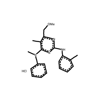 COCc1nc(Nc2ccccc2C)nc(N(C)c2ccccc2)c1C.Cl